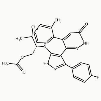 CC(=O)OC[C@@H](Nc1[nH]nc(-c2ccc(F)cc2)c1-c1n[nH]c(=O)cc1-c1ccccc1C)C(C)C